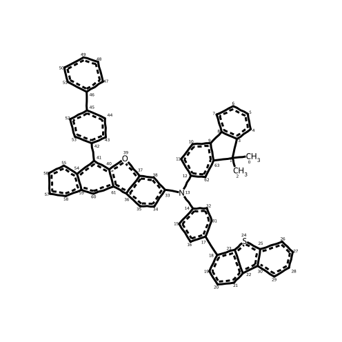 CC1(C)c2ccccc2-c2ccc(N(c3ccc(-c4cccc5c4sc4ccccc45)cc3)c3ccc4c(c3)oc3c(-c5ccc(-c6ccccc6)cc5)c5ccccc5cc34)cc21